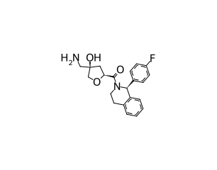 NC[C@@]1(O)CO[C@H](C(=O)N2CCc3ccccc3[C@@H]2c2ccc(F)cc2)C1